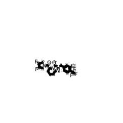 O=C([C@@H]1CCCc2nn(Cc3ccc(C(F)(F)F)c(Cl)c3)c(=O)n21)N1C[C@@H](F)[C@@H](F)C1